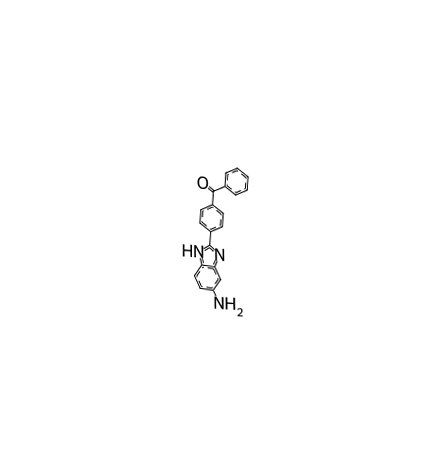 Nc1ccc2[nH]c(-c3ccc(C(=O)c4ccccc4)cc3)nc2c1